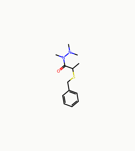 CC(SCc1ccccc1)C(=O)N(C)N(C)C